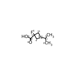 CC(C)N1CC(F)(C(=O)O)C1